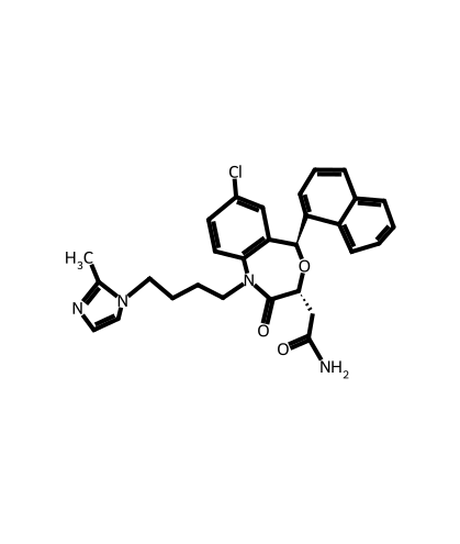 Cc1nccn1CCCCN1C(=O)[C@@H](CC(N)=O)O[C@H](c2cccc3ccccc23)c2cc(Cl)ccc21